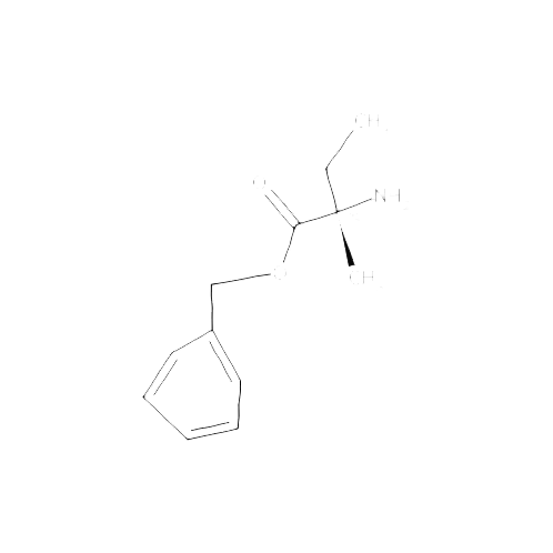 CC[C@](C)(N)C(=O)OCc1ccccc1